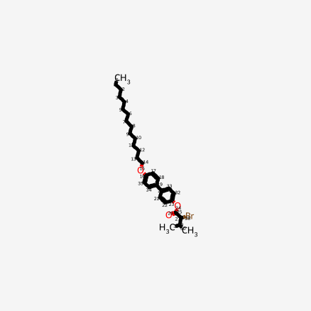 CCCCCCCCCCCCCCCOc1ccc(-c2ccc(OC(=O)C(Br)C(C)C)cc2)cc1